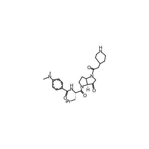 CC(C)C[C@H](NC(=O)c1ccc(N(C)C)cc1)C(=O)N1CCC2[C@H]1C(=O)CN2C(=O)CC1CCNCC1